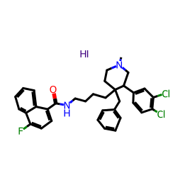 CN1CCC(CCCCNC(=O)c2ccc(F)c3ccccc23)(Cc2ccccc2)C(c2ccc(Cl)c(Cl)c2)C1.I